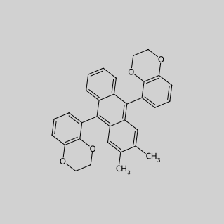 Cc1cc2c(-c3cccc4c3OCCO4)c3ccccc3c(-c3cccc4c3OCCO4)c2cc1C